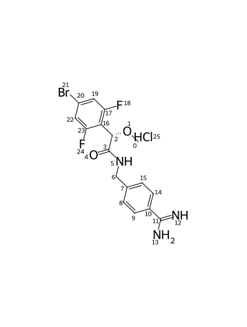 CO[C@H](C(=O)NCc1ccc(C(=N)N)cc1)c1c(F)cc(Br)cc1F.Cl